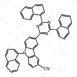 N#Cc1ccc2c(c1)c1cc(-c3nc(-c4cccc5ccccc45)nc(-c4cccc5ccccc45)n3)ccc1n2-c1cccc2ccccc12